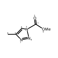 COC(=O)n1cc(C)nn1